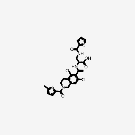 C=C(NC(CNC(=O)c1cccs1)C(=O)O)c1c(Cl)cc2c(c1Cl)CCN(C(=O)c1ccc(C)s1)C2